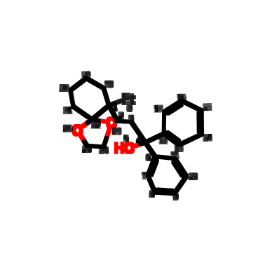 CCC1(CCC(O)(c2ccccc2)c2ccccc2)CCCCC12OCCO2